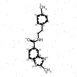 Cc1ccc(CCNC(=O)c2ccc3sc(C)nc3c2)cc1